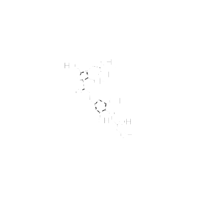 Cc1cc(CCC(=O)c2sc(C)c(CC(C)C)c2C)cc(C)c1OCC(O)CO